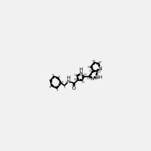 O=C(NCc1ccccc1)c1c[nH]c(-c2n[nH]c3ncccc23)c1